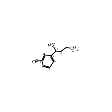 [CH2]CCC(S)c1cccc(Cl)c1